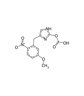 COc1ccc([N+](=O)[O-])c(Cc2c[nH]c(OC(=O)O)n2)c1